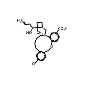 C=CC[C@H](O)[C@]1(C)CC[C@H]1CN1CCCCc2cc(Cl)ccc2COc2ccc(C(=O)O)cc21